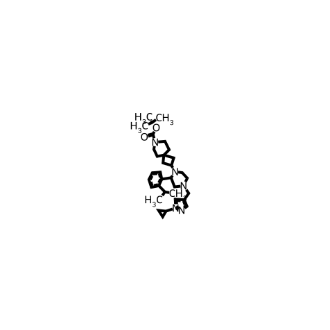 CC(C)c1ccccc1C1CN(Cc2cnn(C3CC3)c2)CCN1C1CC2(CCN(C(=O)OC(C)(C)C)CC2)C1